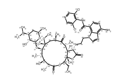 CC[C@H]1OC(=O)[C@H](C)[C@@H](O)[C@H](C)[C@@H](O[C@@H]2O[C@H](C)C[C@H](N(C)C)[C@H]2O)[C@](C)(OC)C[C@@H](C)C(=O)[C@H](C)[C@H]2[C@H](SCCn3cnc4c(N)ncc(C(=O)Nc5c(Cl)cncc5Cl)c43)C(=O)O[C@@]21C